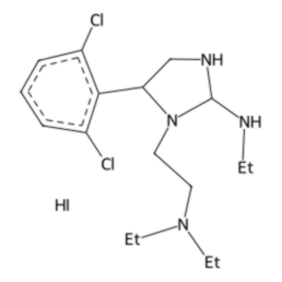 CCNC1NCC(c2c(Cl)cccc2Cl)N1CCN(CC)CC.I